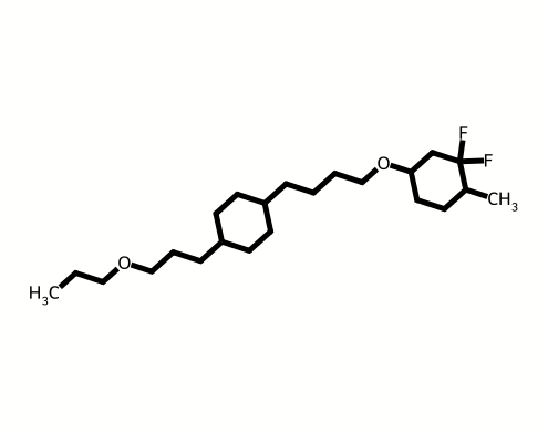 CCCOCCCC1CCC(CCCCOC2CCC(C)C(F)(F)C2)CC1